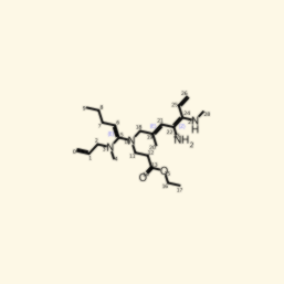 C=CCN(C)/C(=C\CCC)N(CCC(=O)OCC)C/C(C)=C/C(N)=C(\C=C)NC